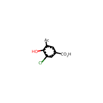 CC(=O)c1cc(C(=O)O)cc(Cl)c1O